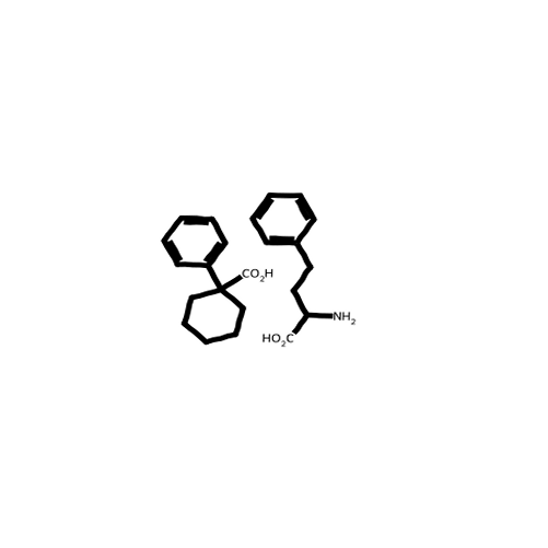 NC(CCc1ccccc1)C(=O)O.O=C(O)C1(c2ccccc2)CCCCC1